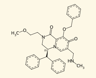 CNCc1cn2c(c(OCc3ccccc3)c1=O)C(=O)N(CCOC)C[C@@H]2C(c1ccccc1)c1ccccc1